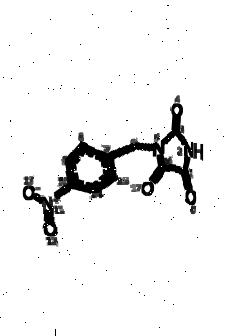 O=C1NC(=O)N(Cc2ccc([N+](=O)[O-])cc2)C1=O